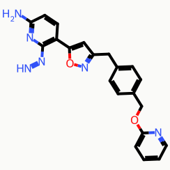 N=Nc1nc(N)ccc1-c1cc(Cc2ccc(COc3ccccn3)cc2)no1